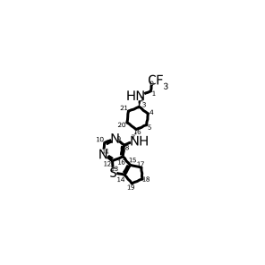 FC(F)(F)CN[C@H]1CC[C@H](Nc2ncnc3sc4c(c23)CCC4)CC1